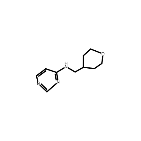 c1cc(NCC2CCOCC2)ncn1